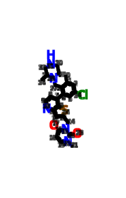 Cc1cc(Cl)cc(-c2ccnc3cc(Cn4c(=O)ccn(C)c4=O)sc23)c1CN1CCNCC1C